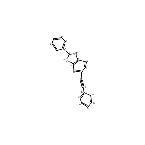 C(#Cc1ccc2nc(-c3ccccc3)sc2c1)c1ccccc1